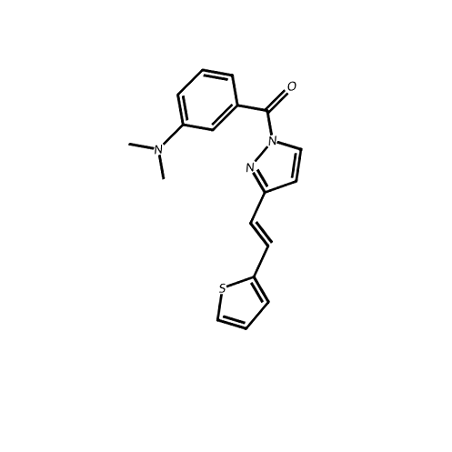 CN(C)c1cccc(C(=O)n2ccc(/C=C/c3cccs3)n2)c1